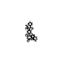 C[S+]([O-])c1ccccc1C(=O)Nc1ccc(N2C(=O)CC(=O)Nc3c2ccc2c3C=CCC2)cc1